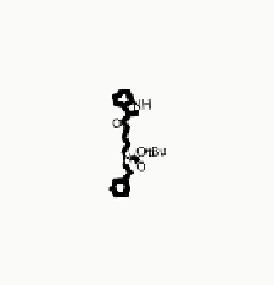 CC(C)(C)OC(=O)N(CCCCC(=O)c1c[nH]c2ccccc12)CCc1ccccc1